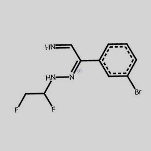 N=C/C(=N\NC(F)CF)c1cccc(Br)c1